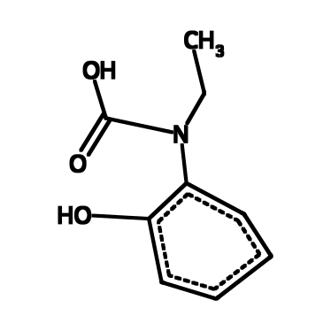 CCN(C(=O)O)c1ccccc1O